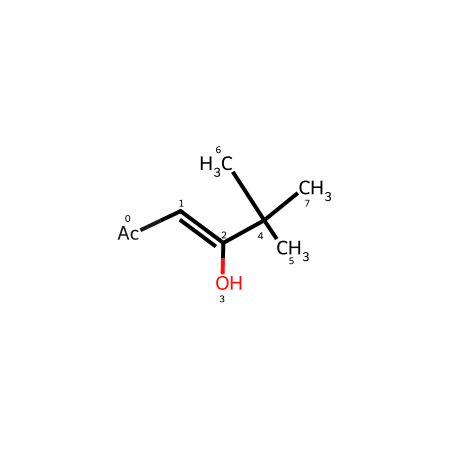 CC(=O)C=C(O)C(C)(C)C